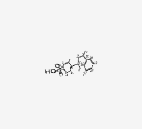 CC(CC(C)c1ccc(S(=O)(=O)O)cc1)c1ccccc1